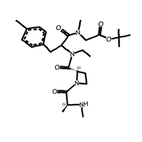 CCN(C(=O)[C@@H]1CCN1C(=O)[C@H](C)NC)C(Cc1ccc(C)cc1)C(=O)N(C)CC(=O)OC(C)(C)C